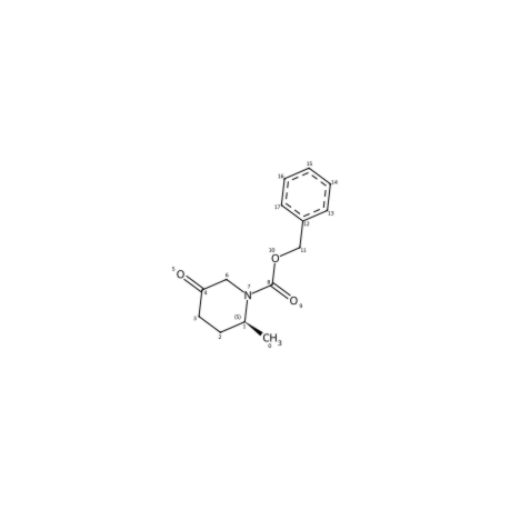 C[C@H]1CCC(=O)CN1C(=O)OCc1ccccc1